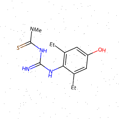 CCc1cc(O)cc(CC)c1NC(=N)NC(=S)NC